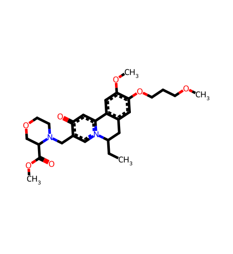 CCC1Cc2cc(OCCCOC)c(OC)cc2-c2cc(=O)c(CN3CCOCC3C(=O)OC)cn21